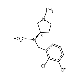 CN1CC[C@@H](N(Cc2cccc(C(F)(F)F)c2Cl)C(=O)O)C1